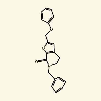 O=C1c2oc(COc3ccccc3)nc2CCN1Cc1ccccc1